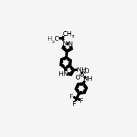 CC(C)n1cc(-c2ccc3[nH]cc(NS(=O)(=O)Nc4ccc(C(F)(F)F)cc4)c3c2)cn1